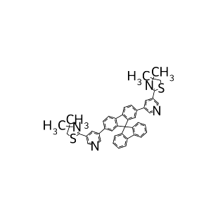 CC1(C)CSC(c2cncc(-c3ccc4c(c3)C3(c5ccccc5-c5ccccc53)c3cc(-c5cncc(C6=NC(C)(C)CS6)c5)ccc3-4)c2)=N1